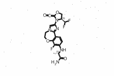 C[C@H](Nc1ccc2c(c1F)OCCn1cc(N3C(=C=O)OC[C@H]3C(F)F)nc1-2)C(N)=O